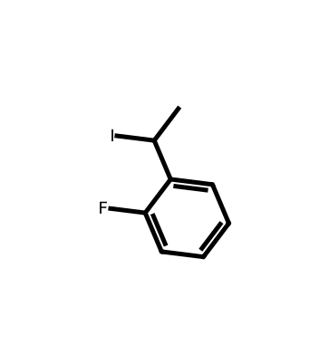 CC(I)c1ccccc1F